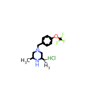 CC1CN(Cc2ccc(OC(F)(F)F)cc2)CC(C)N1.Cl